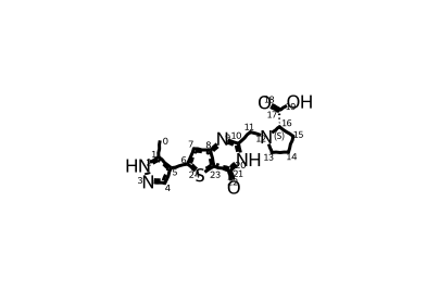 Cc1[nH]ncc1-c1cc2nc(CN3CCC[C@H]3C(=O)O)[nH]c(=O)c2s1